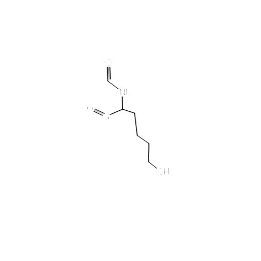 CCCCCC(N=O)NC=O